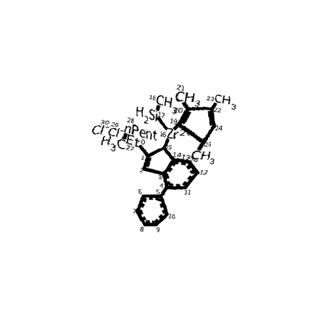 CCC1=Cc2c(-c3ccccc3)cccc2[CH]1[Zr+2]([SiH2]C)[C]1=C(C)C(C)=CC1C.CCCCCC.[Cl-].[Cl-]